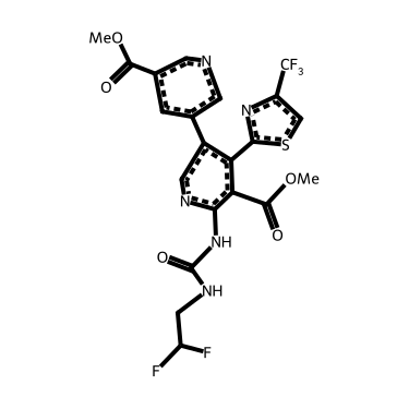 COC(=O)c1cncc(-c2cnc(NC(=O)NCC(F)F)c(C(=O)OC)c2-c2nc(C(F)(F)F)cs2)c1